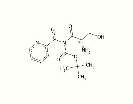 CC(C)(C)OC(=O)N(C(=O)c1ccccn1)C(=O)[C@@H](N)CO